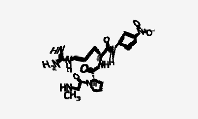 CNCC(=O)N1CCC[C@H]1C(=O)N[C@@H](CCCNC(=N)N)C(=O)Nc1ccc([N+](=O)[O-])cc1